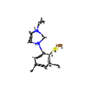 Br.CCCN1C=CN(c2cc(C)cc(C)c2S)C1